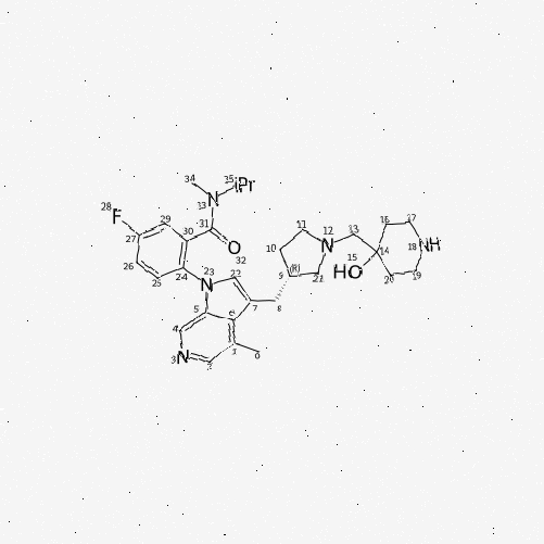 Cc1cncc2c1c(C[C@@H]1CCN(CC3(O)CCNCC3)C1)cn2-c1ccc(F)cc1C(=O)N(C)C(C)C